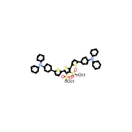 CCCCCCCCS(=O)(=O)c1c(-c2ccc(-c3ccc(N(c4ccccc4)c4ccccc4)cc3)s2)sc(-c2ccc(-c3ccc(N(c4ccccc4)c4ccccc4)cc3)s2)c1S(=O)(=O)CCCCCCCC